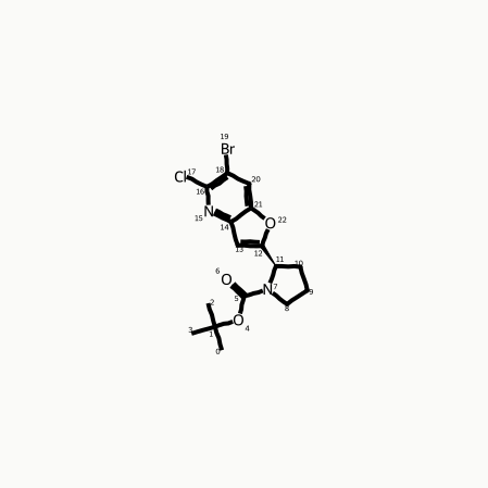 CC(C)(C)OC(=O)N1CCC[C@@H]1c1cc2nc(Cl)c(Br)cc2o1